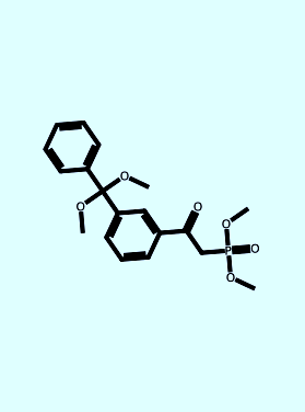 COC(OC)(c1ccccc1)c1cccc(C(=O)CP(=O)(OC)OC)c1